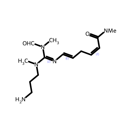 CNC(=O)/C=C\C/C=C/N=C(\N(C)C=O)N(C)CCCN